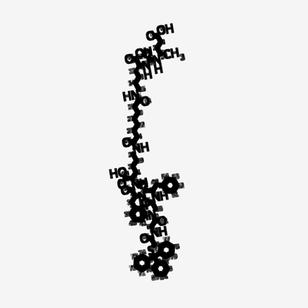 C[C@H](CCC(=O)O)NC(=O)N[C@@H](CCCCNC(=O)CCCCCCC(=O)NCCCCC(NC(=O)C(Cc1ccccc1)NC(=O)C(Cc1ccccc1)NC(=O)CNC(=O)CNC(=O)CSC(c1ccccc1)(c1ccccc1)c1ccccc1)C(=O)O)C(=O)O